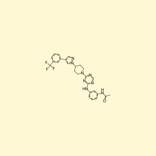 CC(=O)Nc1cccc(Nc2ncnc(N3CCC(n4cc(-c5cccc(C(F)(F)F)c5)cn4)CC3)n2)c1